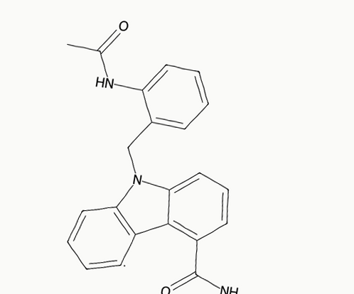 CC(=O)Nc1ccccc1Cn1c2ccc[c]c2c2c(C(N)=O)cccc21